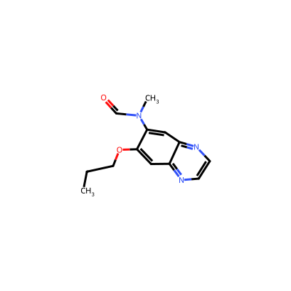 CCCOc1cc2nccnc2cc1N(C)C=O